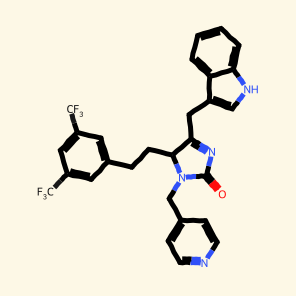 O=C1N=C(Cc2c[nH]c3ccccc23)C(CCc2cc(C(F)(F)F)cc(C(F)(F)F)c2)N1Cc1ccncc1